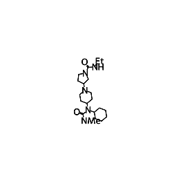 CCNC(=O)N1CCC(N2CCC(N(C(=O)NC)C3CCCCC3)CC2)C1